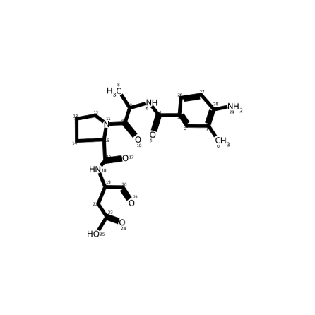 Cc1cc(C(=O)NC(C)C(=O)N2CCCC2C(=O)NC(C=O)CC(=O)O)ccc1N